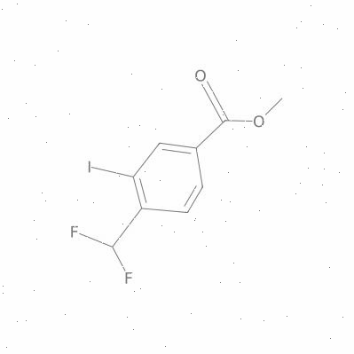 COC(=O)c1ccc(C(F)F)c(I)c1